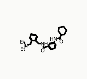 CCN(CC)Cc1ccccc1CNC(=O)c1cccc(NC(=O)C2CCCCC2)c1